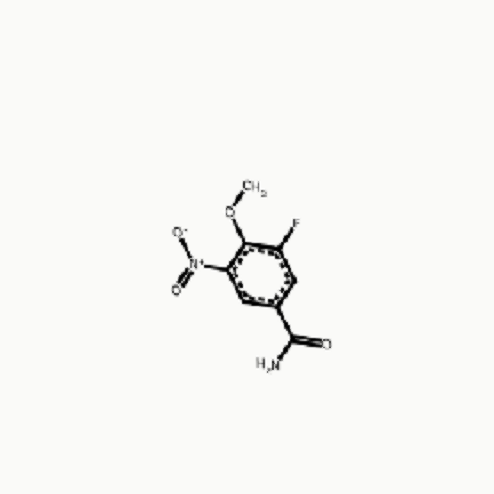 COc1c(F)cc(C(N)=O)cc1[N+](=O)[O-]